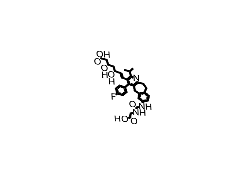 CC(C)c1nc2c(c(-c3ccc(F)cc3)c1/C=C/[C@@H](O)C[C@@H](O)CC(=O)O)Cc1cc(NC(=O)NCC(=O)O)ccc1CC2